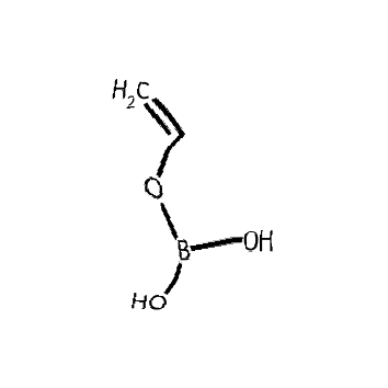 C=COB(O)O